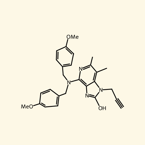 C#CCn1c(O)nc2c(N(Cc3ccc(OC)cc3)Cc3ccc(OC)cc3)nc(C)c(C)c21